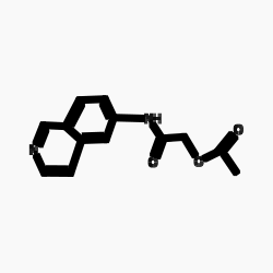 CC(=O)OCC(=O)Nc1ccc2cnccc2c1